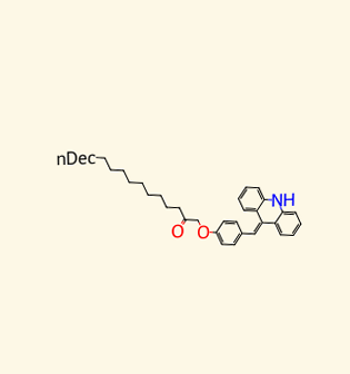 CCCCCCCCCCCCCCCCCCCC(=O)COc1ccc(C=C2c3ccccc3Nc3ccccc32)cc1